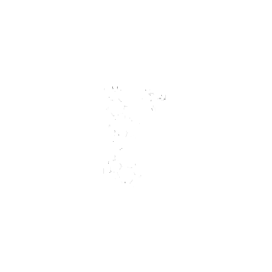 COc1ccc(CN(CCc2c[nH]c3ccccc23)C(=O)CCCNC(=N)N)cc1